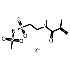 C=C(C)C(=O)NCCS(=O)(=O)[N-]S(C)(=O)=O.[K+]